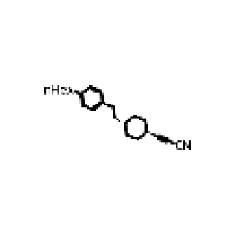 CCCCCCc1ccc(CC[C@H]2CC[C@H](C#CC#N)CC2)cc1